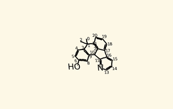 CC1(C)c2ccc(O)cc2C2c3ncccc3-c3cccc1c32